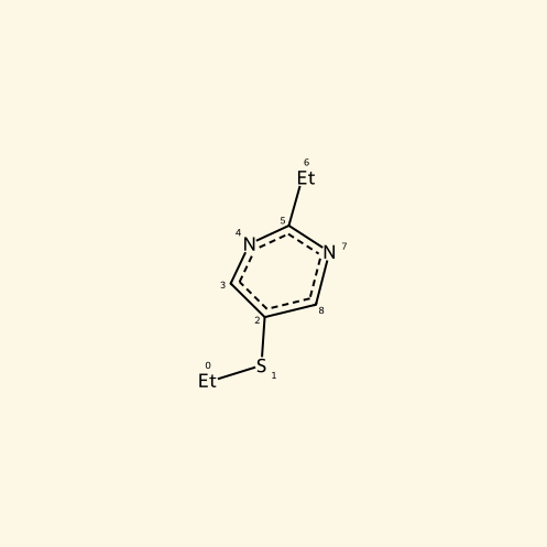 CCSc1cnc(CC)nc1